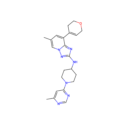 Cc1cc(C2=CCOCC2)c2nc(NC3CCN(c4cc(C)ncn4)CC3)nn2c1